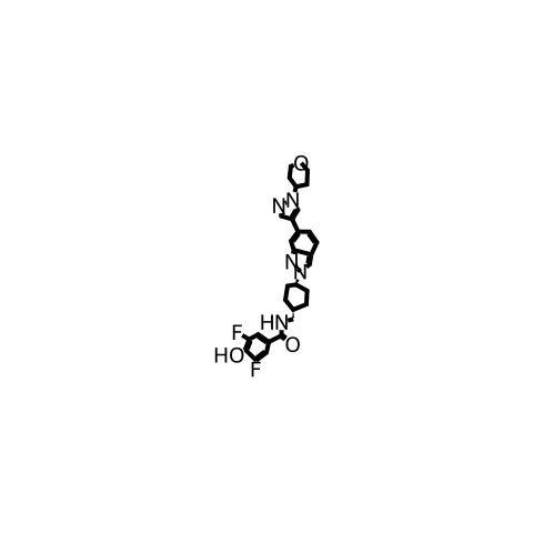 O=C(NC[C@H]1CC[C@H](n2cc3ccc(-c4cnn(C5CCOCC5)c4)cc3n2)CC1)c1cc(F)c(O)c(F)c1